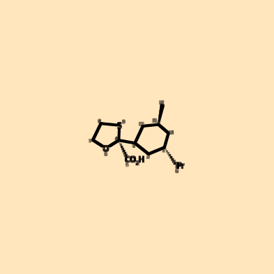 CC(C)[C@@H]1CC([C@@]2(C(=O)O)OCCS2)C[C@@H](C)C1